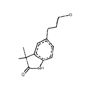 CC1(C)C(=O)Nc2ccc(CCCCl)cc21